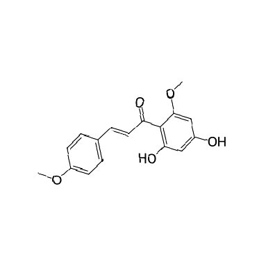 COc1ccc(C=CC(=O)c2c(O)cc(O)cc2OC)cc1